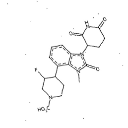 Cn1c(=O)n(C2CCC(=O)NC2=O)c2cccc(C3CCN(C(=O)O)CC3F)c21